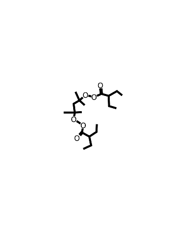 CCC(CC)C(=O)OOC(C)(C)CC(C)(C)OOC(=O)C(CC)CC